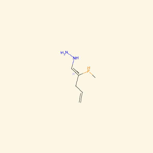 C=CC/C(=C/NN)PC